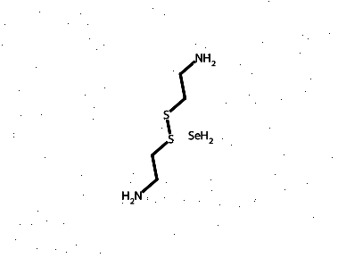 NCCSSCCN.[SeH2]